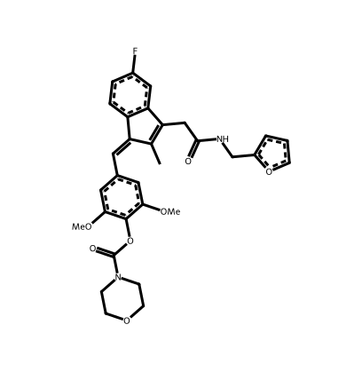 COc1cc(C=C2C(C)=C(CC(=O)NCc3ccco3)c3cc(F)ccc32)cc(OC)c1OC(=O)N1CCOCC1